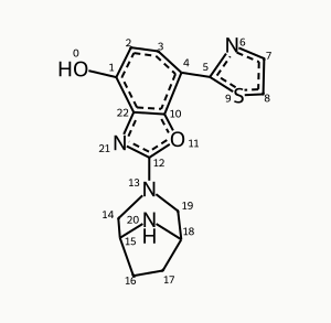 Oc1ccc(-c2nccs2)c2oc(N3CC4CCC(C3)N4)nc12